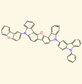 c1ccc(-n2c3ccccc3c3cc(-n4c5ccccc5c5c6oc7c(ccc8c7c7ccccc7n8-c7ccc8oc9ccccc9c8c7)c6ccc54)ccc32)cc1